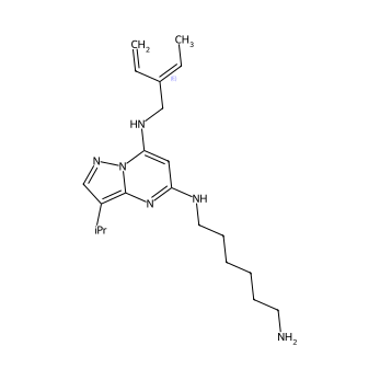 C=C/C(=C\C)CNc1cc(NCCCCCCN)nc2c(C(C)C)cnn12